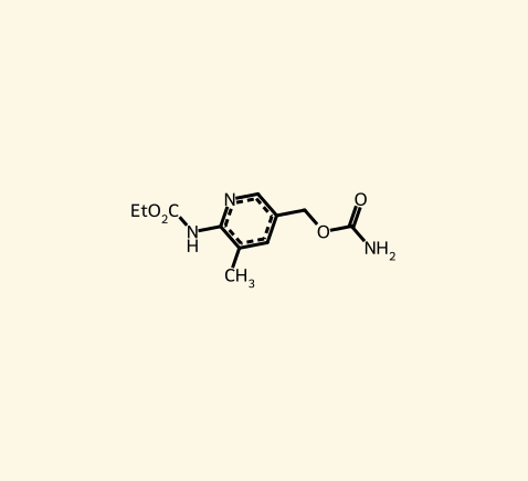 CCOC(=O)Nc1ncc(COC(N)=O)cc1C